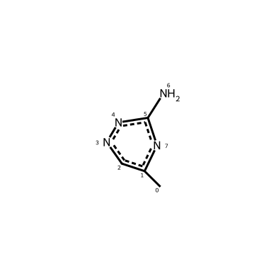 Cc1cnnc(N)n1